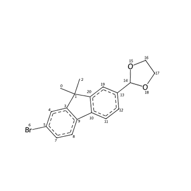 CC1(C)c2cc(Br)ccc2-c2ccc(C3OCCO3)cc21